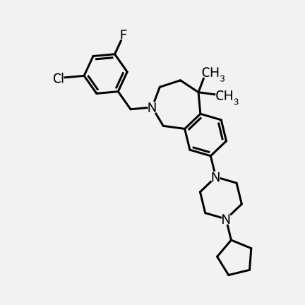 CC1(C)CCN(Cc2cc(F)cc(Cl)c2)Cc2cc(N3CCN(C4CCCC4)CC3)ccc21